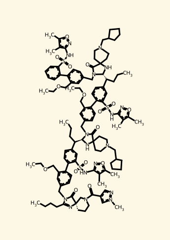 CCCCC1=N[C@@]2(CCCN(C(=O)c3cnn(C)c3)C2)C(=O)N1Cc1ccc(-c2ccc(C(CCC)[C@@H]3NC4(CCN(CC5CCCC5)CC4)C(=O)N3Cc3ccc(-c4ccc(C(CCC)[C@H]5NC6(CCN(CC7CCCC7)CC6)C(=O)N5Cc5ccc(-c6ccccc6S(=O)(=O)Nc6noc(C)c6C)c(COCC)c5)cc4S(=O)(=O)Nc4noc(C)c4C)c(COCC)c3)cc2S(=O)(=O)Nc2noc(C)c2C)c(COCC)c1